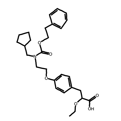 CCOC(Cc1ccc(OCCN(CC2CCCC2)C(=O)OCCc2ccccc2)cc1)C(=O)O